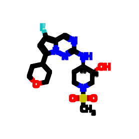 CS(=O)(=O)N1CC[C@@H](Nc2ncc3c(F)cc(C4CCOCC4)n3n2)[C@H](O)C1